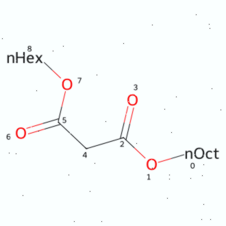 CCCCCCCCOC(=O)CC(=O)OCCCCCC